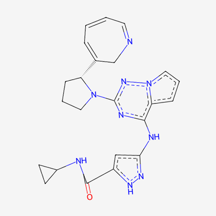 O=C(NC1CC1)c1cc(Nc2nc(N3CCC[C@@H]3C3=CC=CC=NC3)nn3cccc23)n[nH]1